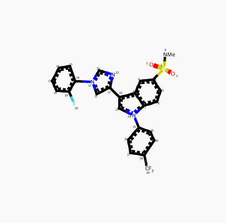 CNS(=O)(=O)c1ccc2c(c1)c(-c1cn(-c3ccccc3F)cn1)cn2-c1ccc(C(F)(F)F)cc1